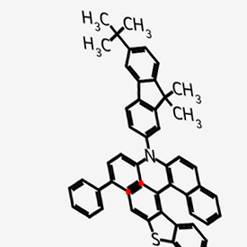 CC(C)(C)c1ccc2c(c1)-c1ccc(N(c3ccc(-c4ccccc4)cc3)c3ccc4ccccc4c3-c3cccc4sc5ccccc5c34)cc1C2(C)C